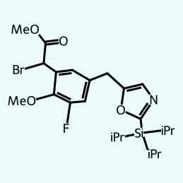 COC(=O)C(Br)c1cc(Cc2cnc([Si](C(C)C)(C(C)C)C(C)C)o2)cc(F)c1OC